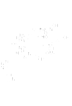 CC[C@H]1OC(=O)[C@H](C)C(=O)C[C@@H](O[C@@H]2OC(C)CC(N(C)C)C2O)[C@](C)(OC)C[C@@H](C)CN(C(C)=O)[C@H](C)[C@H]2N(CCCCn3cc(-c4cccnn4)nn3)C(=O)O[C@]12C